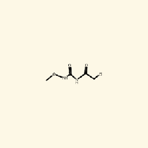 CONC(=O)NC(=O)CCl